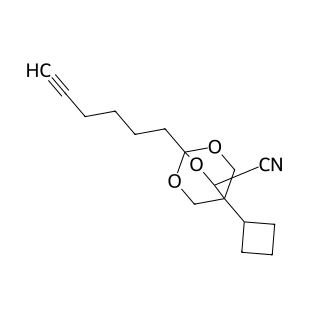 C#CCCCCC12OCC(C3CCC3)(CO1)C(C#N)O2